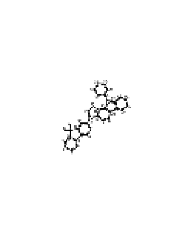 CC1(C)c2ccccc2-c2ccc(N3CCc4c3ccc3c5ccccc5n(-c5ccccc5)c43)cc21